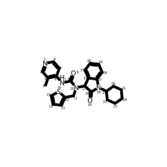 Cc1cnccc1NC(=O)N(Cc1cccs1)C1C(=O)N(C2CCCCC2)c2ccccc21